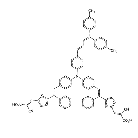 Cc1ccc(C(=C/C=C/c2ccc(N(c3ccc(/C=C(\c4ccccc4)c4ccc(/C=C(\C#N)C(=O)O)s4)cc3)c3ccc(/C=C(\c4ccccc4)c4ccc(/C=C(\C#N)C(=O)O)s4)cc3)cc2)c2ccc(C)cc2)cc1